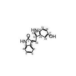 O=C1Nc2ccccc2C1=Cc1c[nH]c2ccc(O)cc12